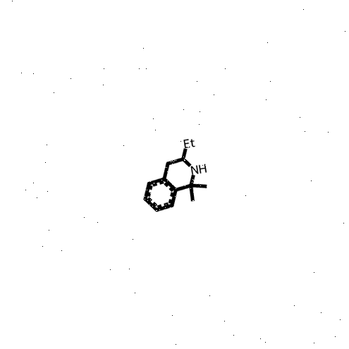 CCC1Cc2ccccc2C(C)(C)N1